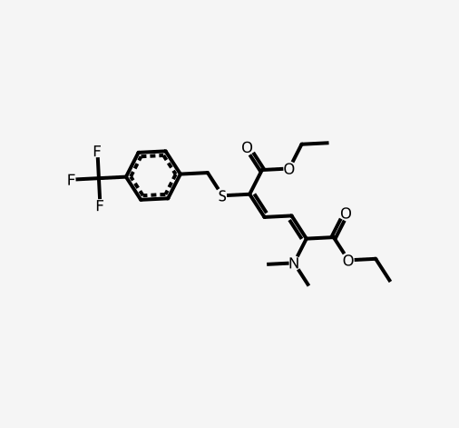 CCOC(=O)C(=CC=C(C(=O)OCC)N(C)C)SCc1ccc(C(F)(F)F)cc1